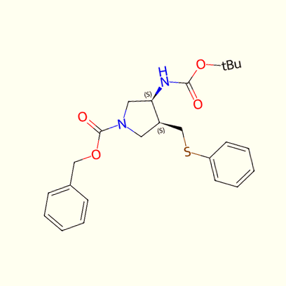 CC(C)(C)OC(=O)N[C@@H]1CN(C(=O)OCc2ccccc2)C[C@@H]1CSc1ccccc1